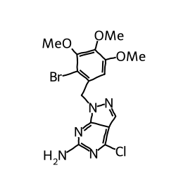 COc1cc(Cn2ncc3c(Cl)nc(N)nc32)c(Br)c(OC)c1OC